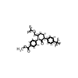 COC(=O)c1ccc(N2C(=O)C(c3ccc(C(F)(F)F)cc3)CCC2COC(F)F)cc1